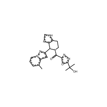 Cc1cccn2nc(C3c4nc[nH]c4CCN3C(=O)c3nnc(C(C)(C)O)o3)cc12